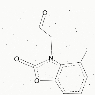 Cc1cccc2oc(=O)n(CC=O)c12